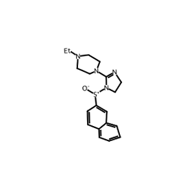 CCN1CCN(C2=NCCN2[S+]([O-])c2ccc3ccccc3c2)CC1